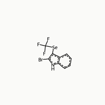 FC(F)(F)[Se]c1c(Br)[nH]c2ccccc12